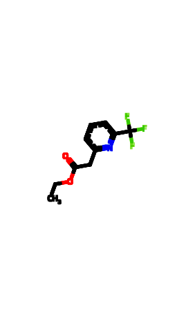 CCOC(=O)Cc1cccc(C(F)(F)F)n1